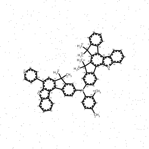 Cc1ccc(N(c2ccc3c(c2)C(C)(C)c2cc(-c4ccncc4)c4oc5ccccc5c4c2-3)c2ccc3c(c2)C(C)(C)c2c4c(c5c(oc6ccccc65)c2-3)-c2ccccc2C4(C)C)c(C)c1